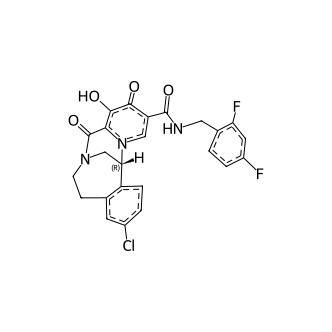 O=C(NCc1ccc(F)cc1F)c1cn2c(c(O)c1=O)C(=O)N1CCc3cc(Cl)ccc3[C@@H]2C1